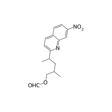 CC(COC=O)CC(C)c1ccc2ccc([N+](=O)[O-])cc2n1